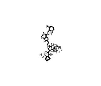 C[C@@H](CN(CCc1nc2c(NCc3ncccc3F)ncnc2s1)C(=O)OC(C)(C)C)C(=O)Nc1ccccc1N